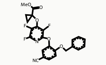 COC(=O)C1(Oc2c(F)c(F)nc(Oc3cc(C#N)ccc3OCc3ccccc3)c2F)CC1